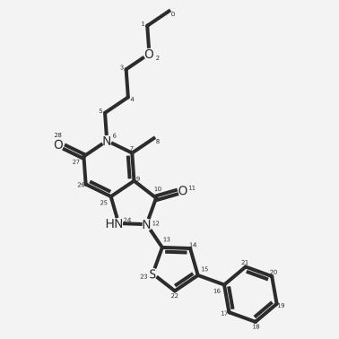 CCOCCCn1c(C)c2c(=O)n(-c3cc(-c4ccccc4)cs3)[nH]c2cc1=O